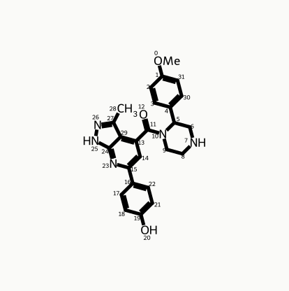 COc1ccc(C2CNCCN2C(=O)c2cc(-c3ccc(O)cc3)nc3[nH]nc(C)c23)cc1